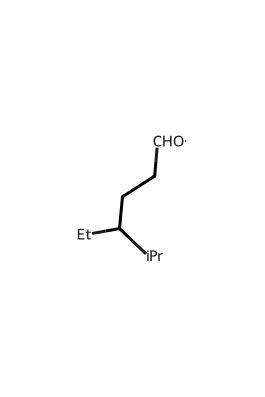 CCC(CC[C]=O)C(C)C